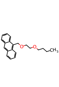 CCCCOCCOCc1c2ccccc2cc2ccccc12